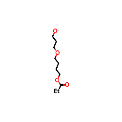 CCC(=O)OCCCCOCCC[O]